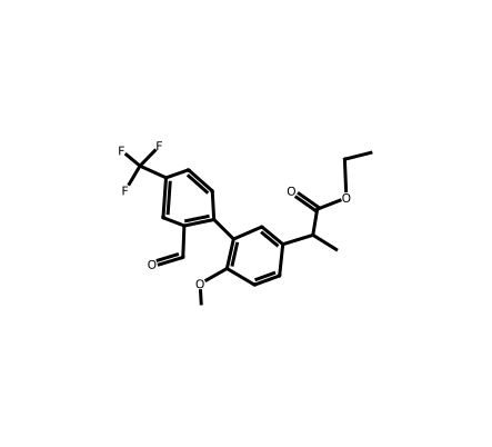 CCOC(=O)C(C)c1ccc(OC)c(-c2ccc(C(F)(F)F)cc2C=O)c1